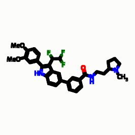 COc1ccc(-c2[nH]c3ccc(-c4cccc(C(=O)NCCC5CCCN5C)c4)cc3c2C(F)C(F)F)cc1OC